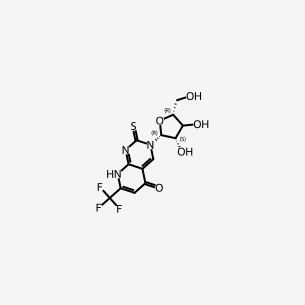 O=c1cc(C(F)(F)F)[nH]c2nc(=S)n([C@@H]3O[C@H](CO)C(O)[C@@H]3O)cc12